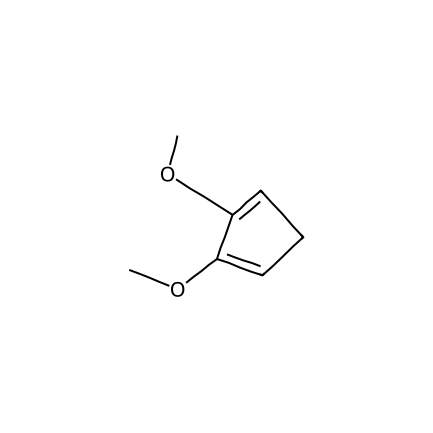 COC1=CCC=C1OC